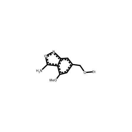 CCOCc1cc(OC)c2c(N)onc2c1